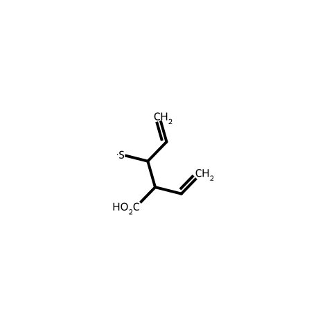 C=CC([S])C(C=C)C(=O)O